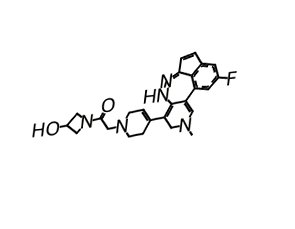 CN1C=C2C(=C(C3=CCN(CC(=O)N4CC(O)C4)CC3)C1)NN=C1C=Cc3cc(F)cc2c31